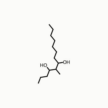 CCCCCCCC(O)C(C)C(O)CCC